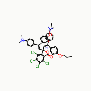 CCCOc1ccc(/C(=C\C2(/C=C(\c3ccc(OCCC)cc3)c3ccc(N(C)C)cc3)OC(=O)c3c(Cl)c(Cl)c(Cl)c(Cl)c32)c2ccc(N(C)C)cc2)cc1